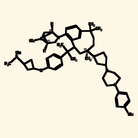 CN(C1CC(Oc2ccc(C(C)(C)C3C[C@](C)(N4CCC(N5CCN(c6ccc(C(C)(C)C)cc6)CC5)C4)CCC(C)(C)c4ccc(N5C[C@H]6C[C@@H]5CN6C(C)(C)C)c3c4)cc2)C1)C(C)(C)C